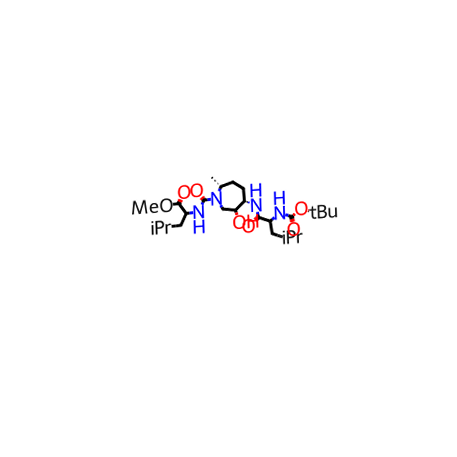 COC(=O)C(CC(C)C)NC(=O)N1CC(O)[C@@H](NC(=O)C(CC(C)C)NC(=O)OC(C)(C)C)CC[C@H]1C